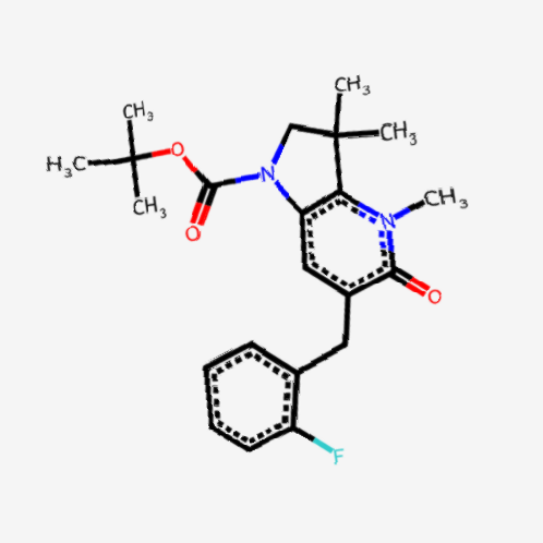 Cn1c2c(cc(Cc3ccccc3F)c1=O)N(C(=O)OC(C)(C)C)CC2(C)C